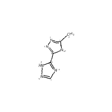 CC1=NN=C(c2ncn[nH]2)[N]1